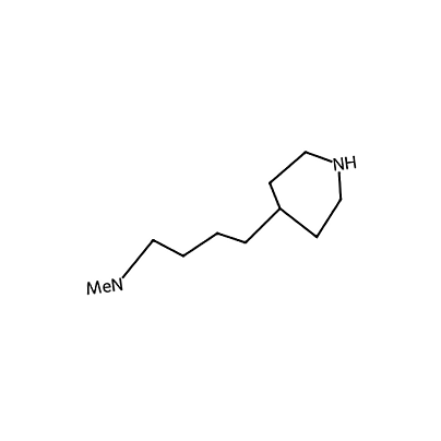 CNCCCCC1CCNCC1